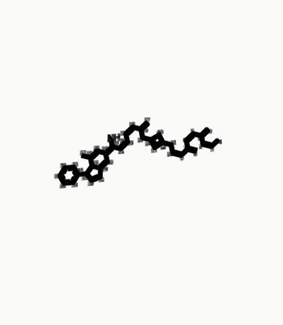 C=C(/C=C\C)/C=C\C(=C)/C=C\CC1=C=C(CC(=C)\C=C/C=C\C(N)=C2\C=C(C)C3C(=C2)C=CC3c2ccccc2)C1